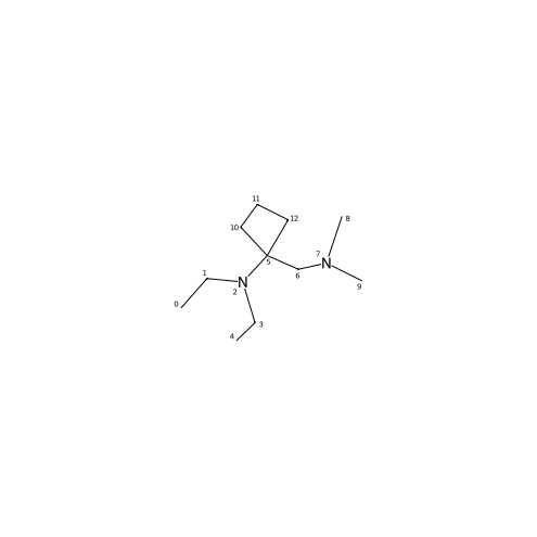 CCN(CC)C1(CN(C)C)CCC1